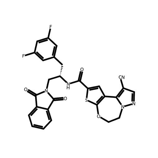 N#Cc1cnn2c1-c1cc(C(=O)N[C@@H](Cc3cc(F)cc(F)c3)CN3C(=O)c4ccccc4C3=O)sc1OCC2